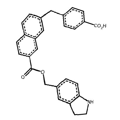 O=C(O)c1ccc(Cc2ccc3ccc(C(=O)OCc4ccc5c(c4)CCN5)cc3c2)cc1